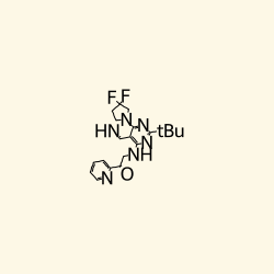 CC(C)(C)c1nc(NCC(=O)c2ccccn2)c(C=N)c(N2CCC(F)(F)C2)n1